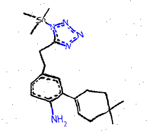 CC1(C)CC=C(c2cc(Cc3nnn[n]3[Sn]([CH3])([CH3])[CH3])ccc2N)CC1